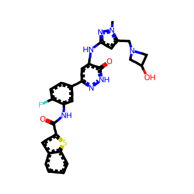 Cn1nc(Nc2cc(-c3ccc(F)c(NC(=O)c4cc5ccccc5s4)c3)n[nH]c2=O)cc1CN1CC(O)C1